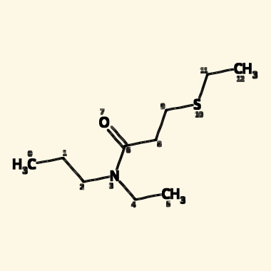 CCCN(CC)C(=O)CCSCC